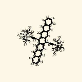 C[Si](C)(C)[Si](C#Cc1c2cc3cc4ccccc4cc3cc2c(C#C[Si]([Si](C)(C)C)([Si](C)(C)C)[Si](C)(C)C)c2cc3cc4ccccc4cc3cc12)([Si](C)(C)C)[Si](C)(C)C